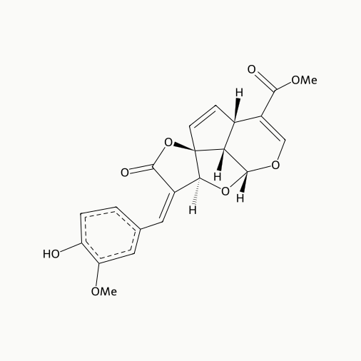 COC(=O)C1=CO[C@@H]2O[C@H]3/C(=C/c4ccc(O)c(OC)c4)C(=O)O[C@]34C=C[C@H]1[C@H]24